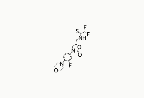 O=C1OC(CNC(=S)C(F)F)CN1c1ccc(N2CCOCC2)c(F)c1